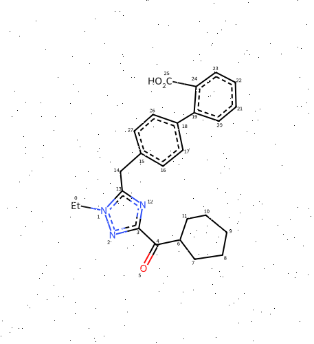 CCn1nc(C(=O)C2CCCCC2)nc1Cc1ccc(-c2ccccc2C(=O)O)cc1